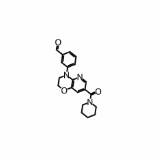 O=Cc1cccc(N2CCOc3cc(C(=O)N4CCCCC4)cnc32)c1